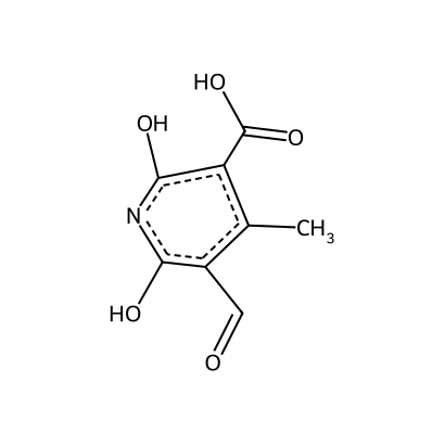 Cc1c(C=O)c(O)nc(O)c1C(=O)O